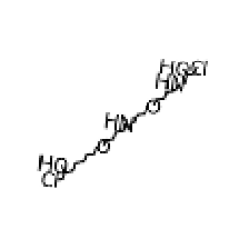 OC(CCl)CCCCCCOCCCCNCCCCOCCCCNCC(O)CCl